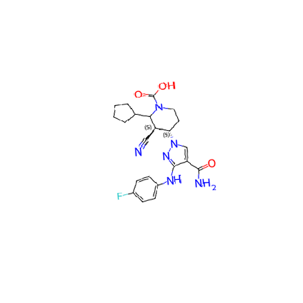 N#C[C@H]1C(C2CCCC2)N(C(=O)O)CC[C@@H]1n1cc(C(N)=O)c(Nc2ccc(F)cc2)n1